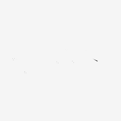 COc1cc(CNC(=O)N[C@@H]2C[C@H]2c2ccccc2)ccn1